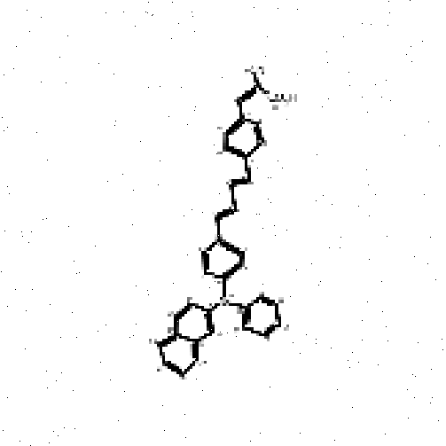 N#C/C(=C/c1ccc(/C=C/C=C/c2ccc(N(c3ccccc3)c3ccc4ccccc4c3)cc2)cc1)C(=O)O